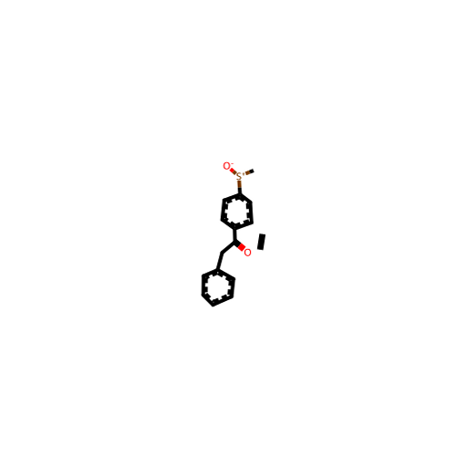 C=C.C[S+]([O-])c1ccc(C(=O)Cc2ccccc2)cc1